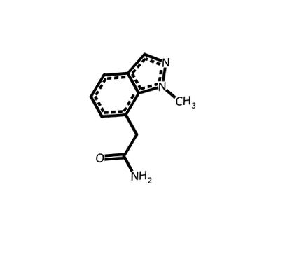 Cn1ncc2cccc(CC(N)=O)c21